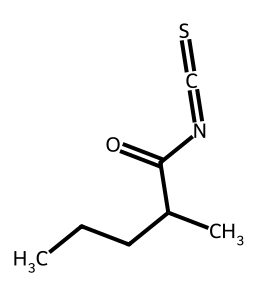 CCCC(C)C(=O)N=C=S